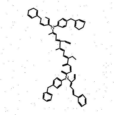 C=CC(=C\C=C(/C)N(C(/C=C\CC1=CCCC=C1)=C/C)c1ccc(CC2=CCCC=C2)cc1)/C(C)=C/C=C(\CC)C(=C)/C=C\C(=C)N(/C(C=C)=C/C=C/c1ccccc1)c1ccc(Cc2ccccc2)cc1